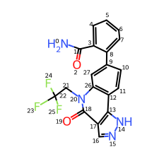 NC(=O)c1ccccc1-c1ccc2c3[nH]ncc3c(=O)n(CC(F)(F)F)c2c1